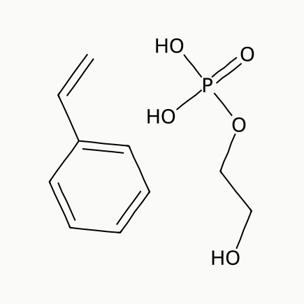 C=Cc1ccccc1.O=P(O)(O)OCCO